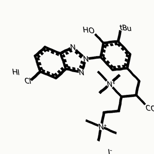 CC(C)(C)c1cc(CC(C(=O)[O-])C(CC[N+](C)(C)C)[N+](C)(C)C)cc(-n2nc3ccc(Cl)cc3n2)c1O.I.[I-]